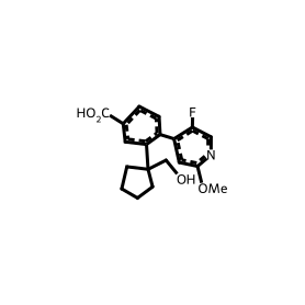 COc1cc(-c2ccc(C(=O)O)cc2C2(CO)CCCC2)c(F)cn1